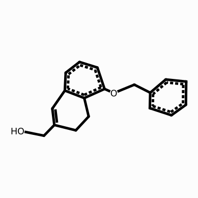 OCC1=Cc2cccc(OCc3ccccc3)c2CC1